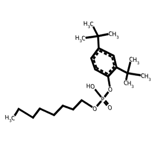 CCCCCCCCOP(=O)(O)Oc1ccc(C(C)(C)C)cc1C(C)(C)C